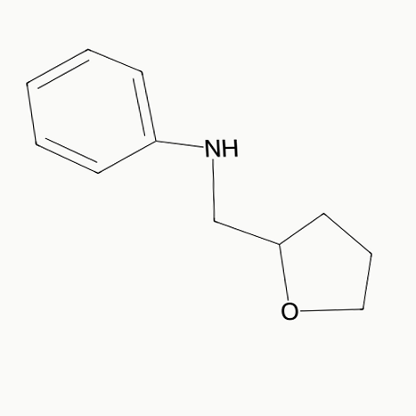 c1ccc(NCC2CCCO2)cc1